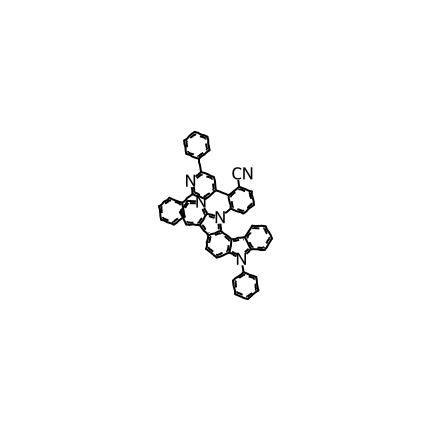 N#Cc1cccc(-n2c3ncccc3c3ccc4c(c5ccccc5n4-c4ccccc4)c32)c1-c1cc(-c2ccccc2)nc(-c2ccccc2)c1